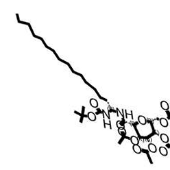 CCCCCCCCCCCCCCC[C@@H](NC(=O)OC(C)(C)C)NC(=O)[C@@H]1O[C@H](COC(C)=O)[C@H](OC(C)=O)[C@H](OC(C)=O)[C@H]1OC(C)=O